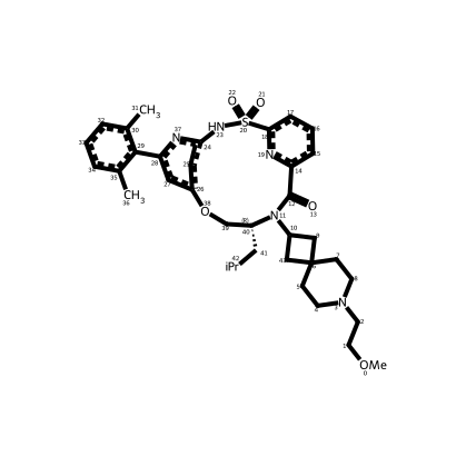 COCCN1CCC2(CC1)CC(N1C(=O)c3cccc(n3)S(=O)(=O)Nc3cc(cc(-c4c(C)cccc4C)n3)OC[C@H]1CC(C)C)C2